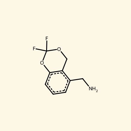 NCc1cccc2c1COC(F)(F)O2